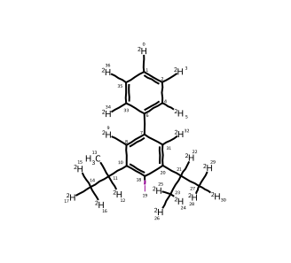 [2H]c1c([2H])c([2H])c(-c2c([2H])c(C([2H])(C)C([2H])([2H])[2H])c(I)c(C([2H])(C([2H])([2H])[2H])C([2H])([2H])[2H])c2[2H])c([2H])c1[2H]